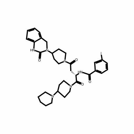 O=C(N[C@@H](CC(=O)N1CCC(N2Cc3ccccc3NC2=O)CC1)C(=O)N1CCC(N2CCCCC2)CC1)c1cccc(I)c1